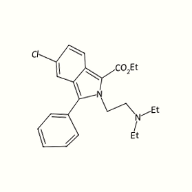 CCOC(=O)c1c2ccc(Cl)cc2c(-c2ccccc2)n1CCN(CC)CC